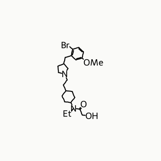 CCN(C(=O)CO)C1CCC(CCN2CCC(Cc3cc(OC)ccc3Br)C2)CC1